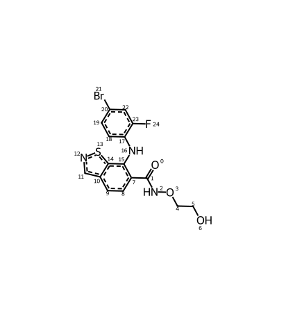 O=C(NOCCO)c1ccc2cnsc2c1Nc1ccc(Br)cc1F